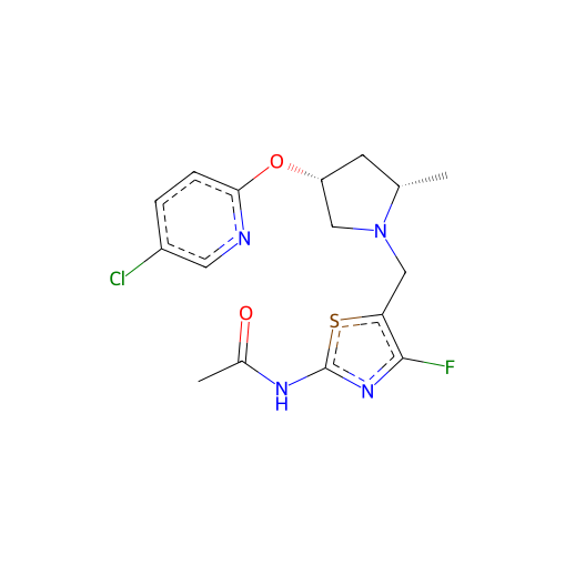 CC(=O)Nc1nc(F)c(CN2C[C@H](Oc3ccc(Cl)cn3)C[C@@H]2C)s1